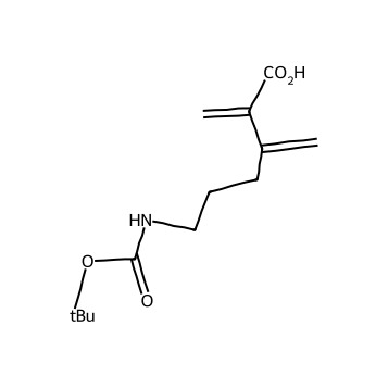 C=C(CCCNC(=O)OC(C)(C)C)C(=C)C(=O)O